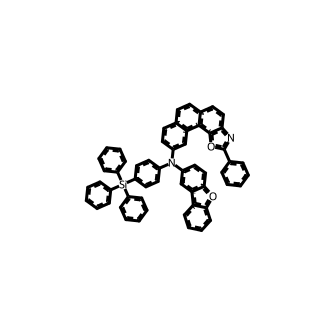 c1ccc(-c2nc3ccc4ccc5ccc(N(c6ccc([Si](c7ccccc7)(c7ccccc7)c7ccccc7)cc6)c6ccc7oc8ccccc8c7c6)cc5c4c3o2)cc1